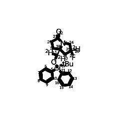 [2H]C([2H])(O[Si](c1ccccc1)(c1ccccc1)C(C)(C)C)[C@@]12CCC(=O)N1C[C@]([2H])(F)C2